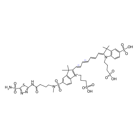 CN(CCCC(=O)Nc1nnc(S(N)(=O)=O)s1)S(=O)(=O)c1ccc2c(c1)C(C)(C)C(/C=C/C=C/C=CC=C1N(CCCS(=O)(=O)O)c3ccc(S(=O)(=O)O)cc3C1(C)C)=[N+]2CCCS(=O)(=O)O